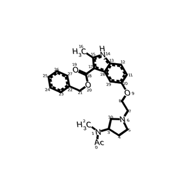 CC(=O)N(C)C1CCN(CCOc2ccc3[nH]c(C)c(C(=O)OCc4ccccc4)c3c2)C1